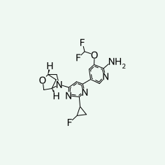 Nc1ncc(-c2cc(N3C[C@@H]4C[C@H]3CO4)nc(C3CC3F)n2)cc1OC(F)F